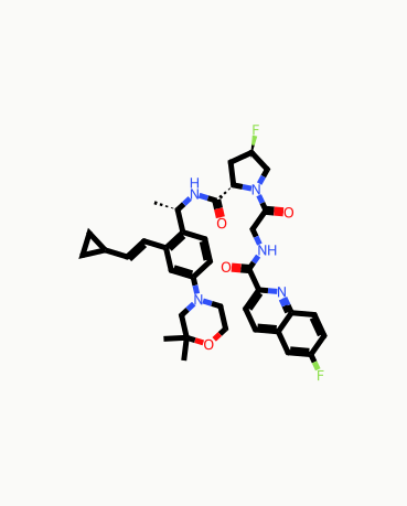 C[C@H](NC(=O)[C@@H]1C[C@@H](F)CN1C(=O)CNC(=O)c1ccc2cc(F)ccc2n1)c1ccc(N2CCOC(C)(C)C2)cc1/C=C/C1CC1